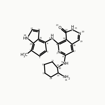 Cc1ccc(Nc2nc(N[C@@H]3CCCCC3N)cc3cn[nH]c(=O)c23)c2cc[nH]c12